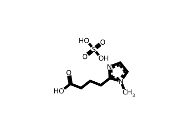 Cn1ccnc1CCCC(=O)O.O=S(=O)(O)O